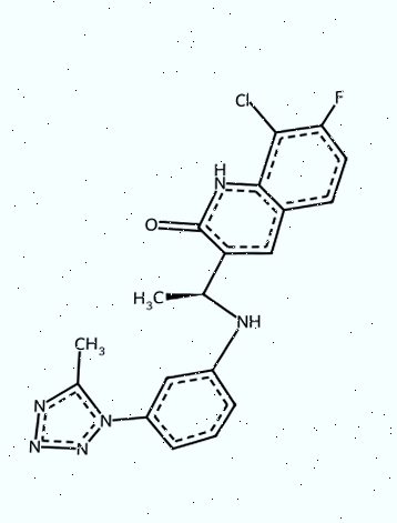 Cc1nnnn1-c1cccc(N[C@@H](C)c2cc3ccc(F)c(Cl)c3[nH]c2=O)c1